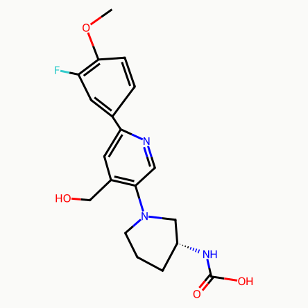 COc1ccc(-c2cc(CO)c(N3CCC[C@@H](NC(=O)O)C3)cn2)cc1F